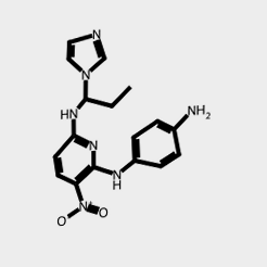 CCC(Nc1ccc([N+](=O)[O-])c(Nc2ccc(N)cc2)n1)n1ccnc1